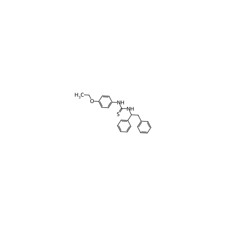 CCOc1ccc(NC(=S)NC(Cc2ccccc2)c2ccccc2)cc1